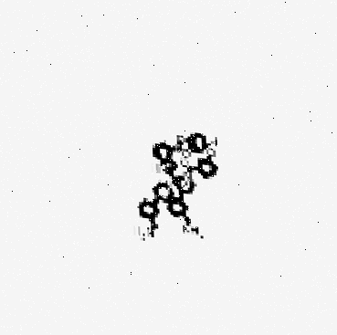 NCc1cccc(C2CCN(C(=O)c3cccc(O[C@H]4CC5CCC4C4OB(c6cccc7[nH]c(C(=O)N8CCC(c9cccc(CN)c9)CC8)cc67)OC54)c3)CC2)c1